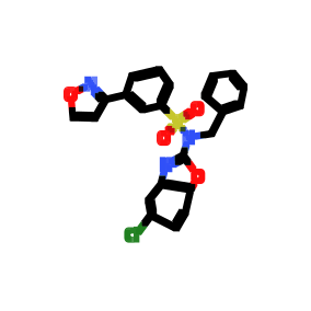 O=S(=O)(c1cccc(-c2ccon2)c1)N(Cc1ccccc1)c1nc2cc(Cl)ccc2o1